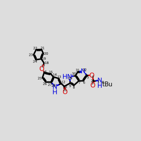 CC(C)(C)NC(=O)Oc1cc2cc(C(=O)c3cc4cc(OCc5ccccc5)ccc4[nH]3)[nH]c2cn1